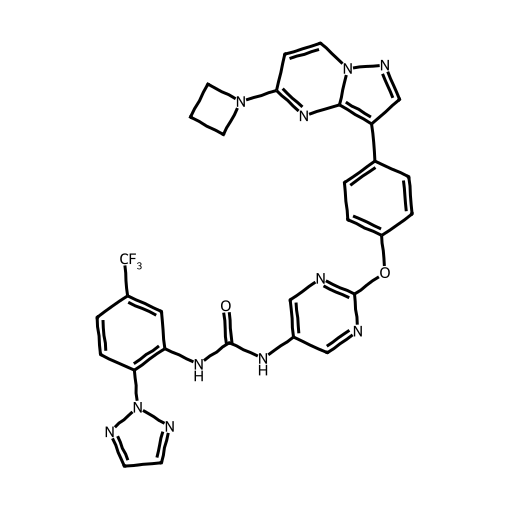 O=C(Nc1cnc(Oc2ccc(-c3cnn4ccc(N5CCC5)nc34)cc2)nc1)Nc1cc(C(F)(F)F)ccc1-n1nccn1